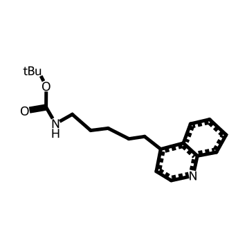 CC(C)(C)OC(=O)NCCCCCc1ccnc2ccccc12